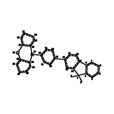 CC1(C)c2ccccc2-c2ccc(-c3ccc(N4c5ccccc5Oc5ccccc54)cc3)cc21